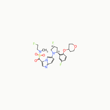 CN(CCF)S(=O)(=O)C(=O)c1cnc2ccc(N3C[C@H](F)C[C@H]3c3cc(F)ccc3OC3CCOCC3)cn12